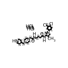 CC1CN(c2ccc(Cl)c(Cl)c2)N=C1NC(=O)CCCNC(=O)CN1CCN(CC2CCNCC2)CC1.Cl.Cl.Cl